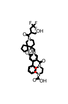 O=C(O)N1CCN(C(=O)c2cn(CC3(O)CCN(C(=O)C(CO)CC(F)(F)F)CC34CCCC4)c(=O)cc2-c2ccccc2)CC1